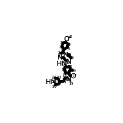 COc1ccc(-c2cnc3c(Nc4ccc(C(=O)N(C)CCC5CCNCC5)c(C)c4)nccn23)cc1